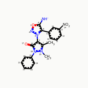 Cc1c(-[n+]2noc([NH-])c2-c2cccc([N+](=O)[O-])c2)c(=O)n(-c2ccccc2)n1C